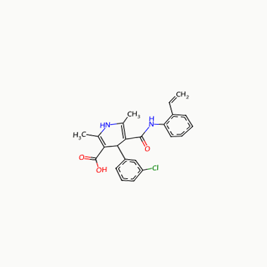 C=Cc1ccccc1NC(=O)C1=C(C)NC(C)=C(C(=O)O)C1c1cccc(Cl)c1